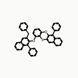 c1ccc(Cc2cc3ccccc3c(-c3ccccc3)c2Oc2cccc3c2Sc2cc4ccccc4c(-c4ccccc4)c2O3)cc1